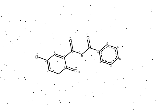 O=C1CC=C(Cl)C=C1C(=O)CC(=O)c1ccccc1